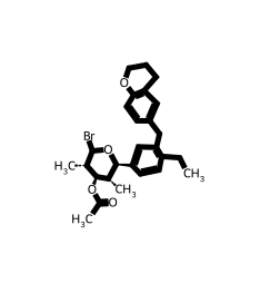 CCc1ccc([C@@H]2OC(Br)[C@@H](C)[C@H](OC(C)=O)[C@H]2C)cc1Cc1ccc2c(c1)CCCO2